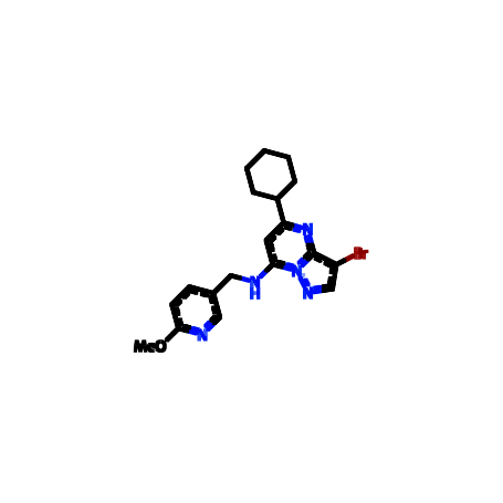 COc1ccc(CNc2cc(C3CCCCC3)nc3c(Br)cnn23)cn1